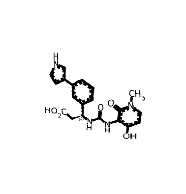 Cn1ccc(O)c(NC(=O)N[C@@H](CC(=O)O)c2cccc(-c3cc[nH]c3)c2)c1=O